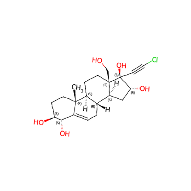 C[C@]12CC[C@H](O)[C@@H](O)C1=CC[C@H]1[C@@H]3C[C@@H](O)[C@@](O)(C#CCl)[C@@]3(CO)CC[C@@H]12